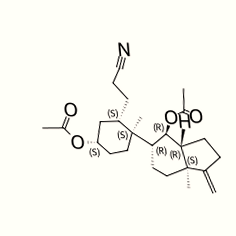 C=C1CC[C@H]2[C@H](OC(C)=O)[C@@H]([C@@]3(C)CC[C@H](OC(C)=O)C[C@@H]3CCC#N)CC[C@]12C